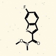 CON(C)C(=O)c1cc2ccc(F)cc2s1